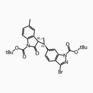 Cc1ccc2c(c1)[C@]1(C[C@H]1c1ccc3c(Br)nn(C(=O)OC(C)(C)C)c3c1)C(=O)N2C(=O)OC(C)(C)C